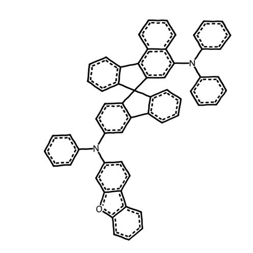 c1ccc(N(c2ccc3c(c2)-c2ccccc2C32c3ccccc3-c3c2cc(N(c2ccccc2)c2ccccc2)c2ccccc32)c2ccc3c(c2)oc2ccccc23)cc1